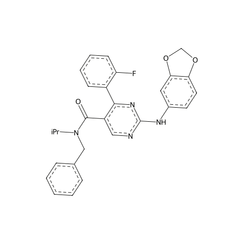 CC(C)N(Cc1ccccc1)C(=O)c1cnc(Nc2ccc3c(c2)OCO3)nc1-c1ccccc1F